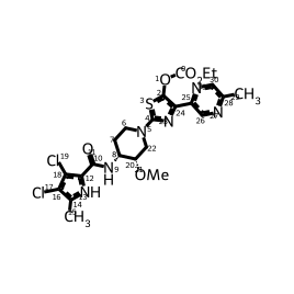 CCOC(=O)Oc1sc(N2CC[C@@H](NC(=O)c3[nH]c(C)c(Cl)c3Cl)[C@@H](OC)C2)nc1-c1cnc(C)cn1